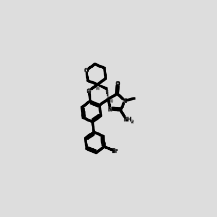 CN1C(=O)[C@@]2(C[C@@]3(CCCOC3)Oc3ccc(-c4cccc(Br)c4)cc32)N=C1N